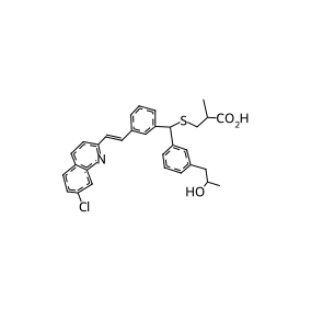 CC(O)Cc1cccc(C(SCC(C)C(=O)O)c2cccc(C=Cc3ccc4ccc(Cl)cc4n3)c2)c1